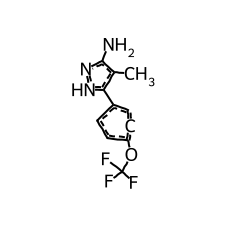 Cc1c(N)n[nH]c1-c1ccc(OC(F)(F)F)cc1